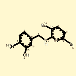 Nc1ccc(CNc2nc(Br)ccc2Br)cc1O